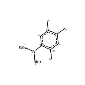 CCCCN(CCCC)c1cc(C)c(C)cc1C